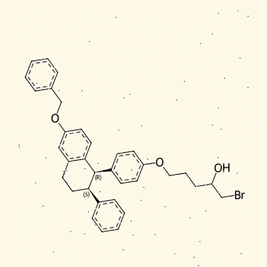 OC(CBr)CCCOc1ccc([C@@H]2c3ccc(OCc4ccccc4)cc3CC[C@@H]2c2ccccc2)cc1